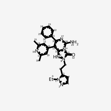 CCn1nccc1CCn1[nH]c2c(-c3cc(C)nc(C)c3)c(-c3ccccc3)nc(N)[n+]2c1=O